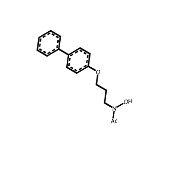 CC(=O)N(O)CCCOc1ccc(-c2ccccc2)cc1